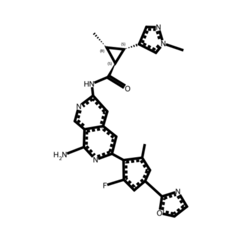 Cc1cc(-c2ncco2)cc(F)c1-c1cc2cc(NC(=O)[C@H]3[C@H](C)[C@@H]3c3cnn(C)c3)ncc2c(N)n1